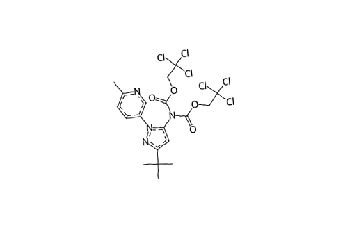 Cc1ccc(-n2nc(C(C)(C)C)cc2N(C(=O)OCC(Cl)(Cl)Cl)C(=O)OCC(Cl)(Cl)Cl)cn1